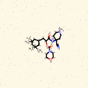 CN1CCC(C#N)(NC(=O)C(CC2CC(C)(C)CC(C)(C)C2)OC(=O)N2CCOCC2)CC1